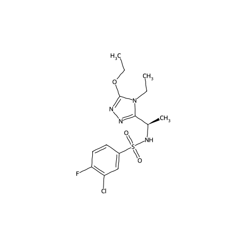 CCOc1nnc([C@@H](C)NS(=O)(=O)c2ccc(F)c(Cl)c2)n1CC